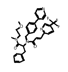 COCCN(C)C(=O)C(Cc1ccccc1)N(Cc1ccc(-c2ccncc2)cc1)C(=O)C=Cc1ccc(C(F)(F)F)cn1